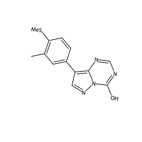 CSc1ccc(-c2cnn3c(O)ncnc23)cc1C